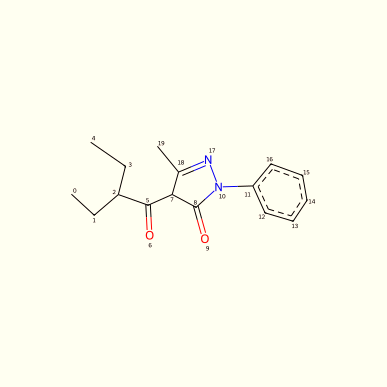 CCC(CC)C(=O)C1C(=O)N(c2ccccc2)N=C1C